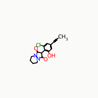 CC#Cc1cc(O)c(C2C(=O)N3CCCCN3C2=O)c(Cl)c1